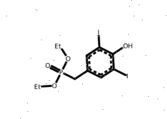 CCOP(=O)(Cc1cc(I)c(O)c(I)c1)OCC